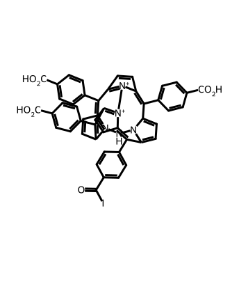 O=C(O)c1ccc(-c2c3[n+]4c(c(-c5ccc(C(=O)O)cc5)c5ccc6c(-c7ccc(C(=O)I)cc7)c7[n+]4c(c(-c4ccc(C(=O)O)cc4)c4ccc2n4Nn56)C=C7)C=C3)cc1